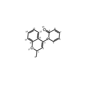 CC1C=C(n2ccccc2=O)c2ccccc2O1